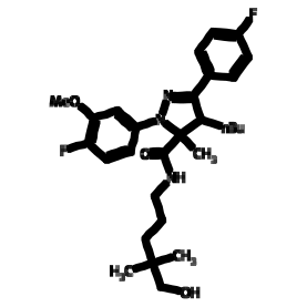 CCCCC1C(c2ccc(F)cc2)=NN(c2ccc(F)c(OC)c2)C1(C)C(=O)NCCCC(C)(C)CO